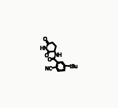 CC(C)(C)c1ccc(C#N)c(C(=O)NC2CCC(=O)NC2=O)c1